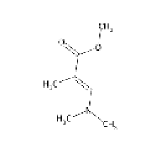 COC(=O)C(C)=CN(C)C